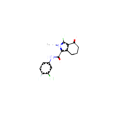 Cn1c(Cl)c2c(c1C(=O)Nc1ccc(F)c(Cl)c1)CCCC2=O